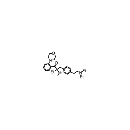 CCN(CC)CCc1ccc(CC(CC)(C(=O)c2ccccc2N2CCOCC2)N(C)C)cc1